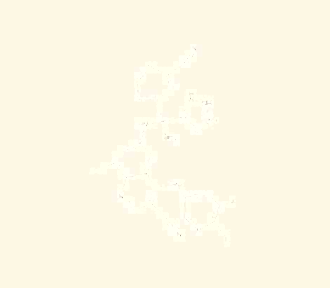 BC(Nc1cc(Cl)c2ncc(C#N)c(Nc3cnc(F)c(F)c3)c2c1)(C1=CNNN1)c1cccc(C#N)c1